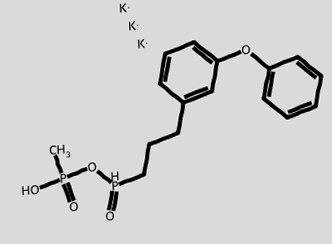 CP(=O)(O)O[PH](=O)CCCc1cccc(Oc2ccccc2)c1.[K].[K].[K]